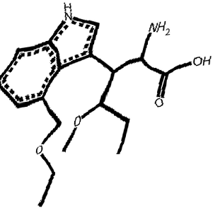 CCOCc1cccc2[nH]cc(C(C(CC)OC)C(N)C(=O)O)c12